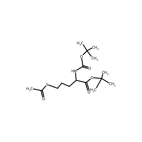 CC(=O)SCCCC(NC(=O)OC(C)(C)C)C(=O)OC(C)(C)C